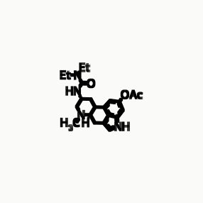 CCN(CC)C(=O)N[C@H]1CC2c3cc(OC(C)=O)cc4[nH]cc(c34)C[C@H]2N(C)C1